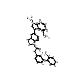 Cn1cc(-c2ccc3c(c2)CCN3C(=O)Cc2cccc(-c3ccccc3C(F)(F)F)c2)c2c(N)ncnc21